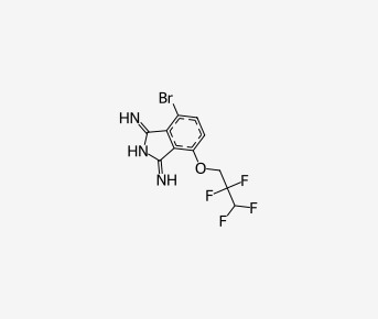 N=C1NC(=N)c2c(OCC(F)(F)C(F)F)ccc(Br)c21